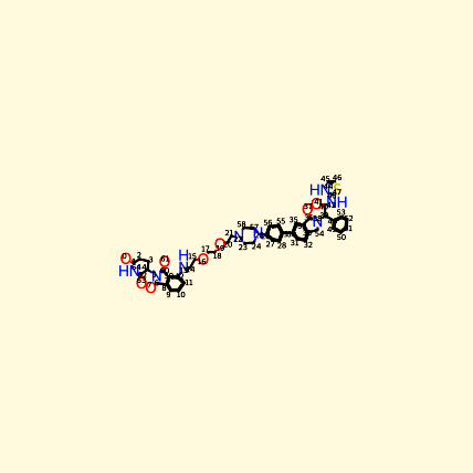 O=C1CCC(N2C(=O)c3cccc(NCCOCCOCCN4CCN(c5ccc(-c6ccc7c(c6)C(=O)N(C(C(=O)NC6NC=CS6)c6ccccc6)C7)cc5)CC4)c3C2=O)C(=O)N1